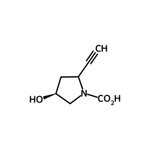 C#CC1C[C@H](O)CN1C(=O)O